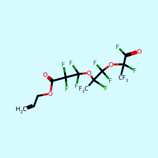 C=CCOC(=O)C(F)(F)C(F)(F)OC(F)(C(F)(F)F)C(F)(F)OC(F)(C(=O)F)C(F)(F)F